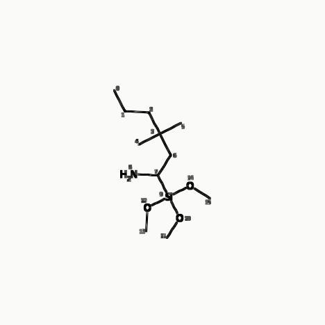 CCCC(C)(C)CC(N)[Si](OC)(OC)OC